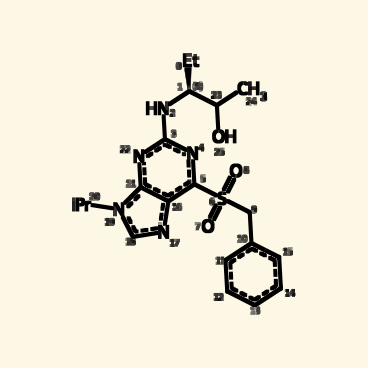 CC[C@H](Nc1nc(S(=O)(=O)Cc2ccccc2)c2ncn(C(C)C)c2n1)C(C)O